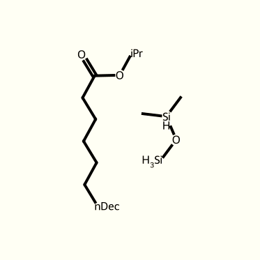 CCCCCCCCCCCCCCCC(=O)OC(C)C.C[SiH](C)O[SiH3]